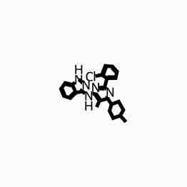 Cc1c(Nc2n[nH]c3ccccc23)nc(-c2ccccc2Cl)nc1C1CCC(C)CC1